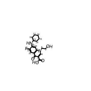 O=C(O)c1cn(CCO)c2cc(NC3CCCCC3)c(F)cc2c1=O